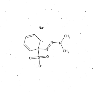 CN(C)N=NC1(S(=O)(=O)[O-])C=CC=CC1.[Na+]